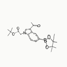 CC(=O)c1cn(CC(=O)OC(C)(C)C)c2ccc(B3OC(C)(C)C(C)(C)O3)cc12